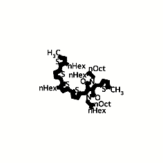 CCCCCCCCC(CCCCCC)CN1C(=O)C2=C(c3ccc(-c4cc(CCCCCC)c(-c5ccc(-c6sc(C)cc6CCCCCC)s5)s4)s3)N(CC(CCCCCC)CCCCCCCC)C(=O)C2=C1c1ccc(C)s1